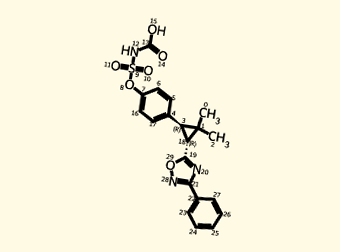 CC1(C)[C@H](c2ccc(OS(=O)(=O)NC(=O)O)cc2)[C@H]1c1nc(-c2ccccc2)no1